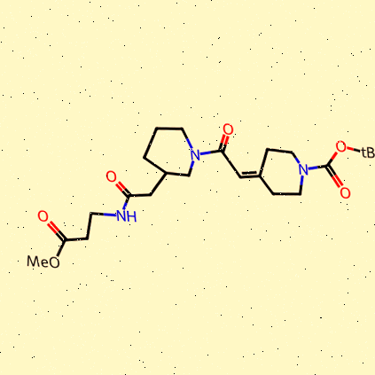 COC(=O)CCNC(=O)CC1CCCN(C(=O)C=C2CCN(C(=O)OC(C)(C)C)CC2)C1